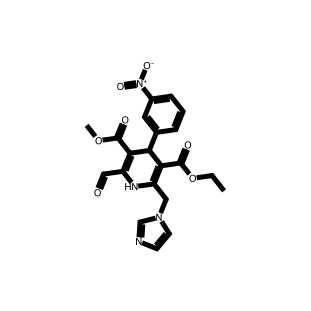 CCOC(=O)C1=C(Cn2ccnc2)NC(C=O)=C(C(=O)OC)C1c1cccc([N+](=O)[O-])c1